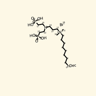 CCCCCCCCCCCCCCCCCC[N+](C)(C)CCCN(CCP(=O)(O)O)CCP(=O)(O)O.[Br-]